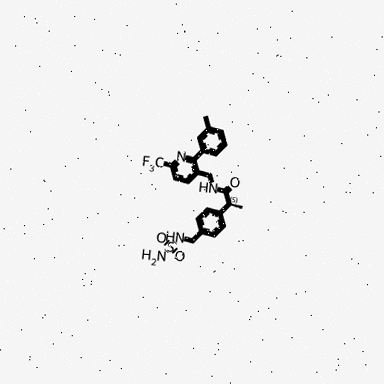 Cc1cccc(-c2nc(C(F)(F)F)ccc2CNC(=O)[C@@H](C)c2ccc(CNS(N)(=O)=O)cc2)c1